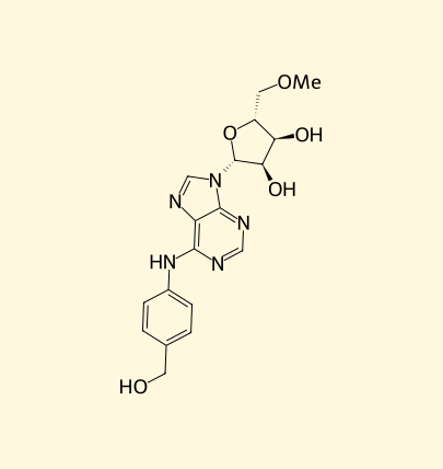 COC[C@H]1O[C@@H](n2cnc3c(Nc4ccc(CO)cc4)ncnc32)[C@H](O)[C@@H]1O